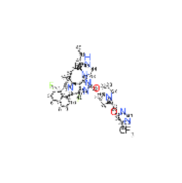 C#Cc1c(F)ccc2cccc(-c3nc4c5c(nc(OC[C@@]67CCCN6[C@H](COc6cc(C(F)(F)F)ncn6)CC7)nc5c3F)N3CCN[C@@H](CC=C)[C@H]3CC[C@H]4C)c12